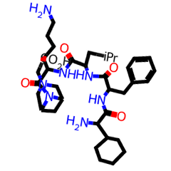 CC(C)CC(NC(=O)C(Cc1ccccc1)NC(=O)C(N)C1CCCCC1)C(=O)NC(CCCCN)C(=O)N1C2CC1CN(CC(=O)O)C2